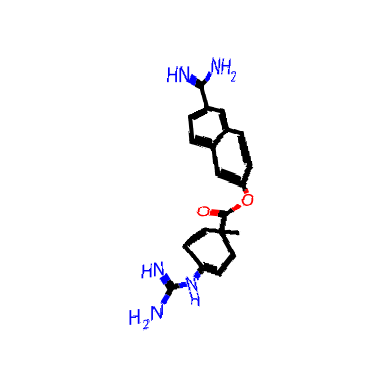 CC1(C(=O)Oc2ccc3cc(C(=N)N)ccc3c2)C=CC(NC(=N)N)=CC1